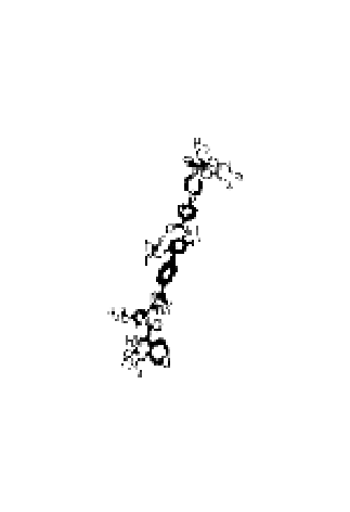 COC(=O)NC(C(=O)N1CC(OC)C[C@H]1c1nc(-c2ccc(-c3cc(Cl)c(NC(=O)c4ccc(N5CCN(C(=O)C(C)(C)C)CC5)nc4)cc3OC(F)(F)F)cc2)c[nH]1)C1CCOCC1